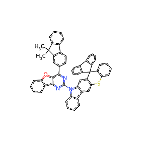 CC1(C)c2ccccc2-c2ccc(-c3nc(-n4c5ccccc5c5cc6c(cc54)C4(c5ccccc5S6)c5ccccc5-c5ccccc54)nc4c3oc3ccccc34)cc21